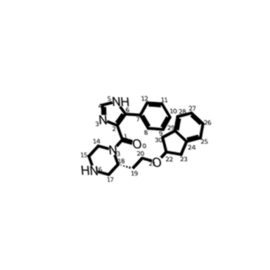 O=C(c1nc[nH]c1-c1ccccc1)N1CCNC[C@H]1CCOC1Cc2ccccc2C1